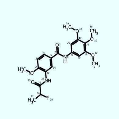 COc1ccc(C(=O)Nc2cc(OC)c(OC)c(OC)c2)cc1NC(=O)C(C)F